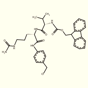 CC(C)[C@H](NC(=O)OCC1c2ccccc2-c2ccccc21)C(=O)N[C@@H](CCCNC(N)=O)C(=O)Nc1ccc(CCl)cc1